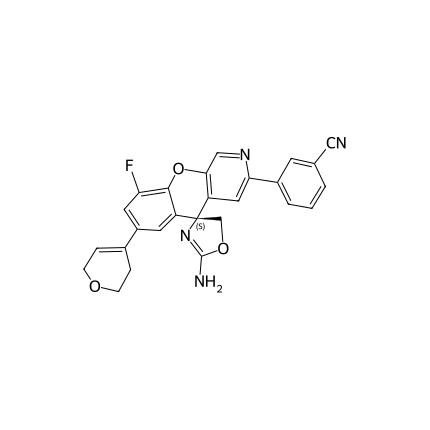 N#Cc1cccc(-c2cc3c(cn2)Oc2c(F)cc(C4=CCOCC4)cc2[C@]32COC(N)=N2)c1